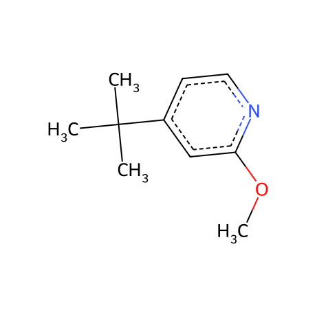 COc1cc(C(C)(C)C)ccn1